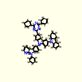 c1ccc(-c2nc(-c3ccccc3)nc(-c3ccc4c(c3)c3cc(-n5c6ccccc6c6ccccc65)ccc3n4-c3ccc4c(c3)c3cccnc3n4-c3ccccc3)n2)cc1